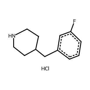 Cl.Fc1cccc(CC2CCNCC2)c1